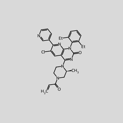 C=CC(=O)N1CCN(c2nc(=O)n(-c3c(CC)cccc3CC)c3nc(-c4cccnc4)c(Cl)cc23)[C@@H](C)C1